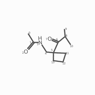 CC(=O)NCC1(C(=O)C(C)C)CCC1